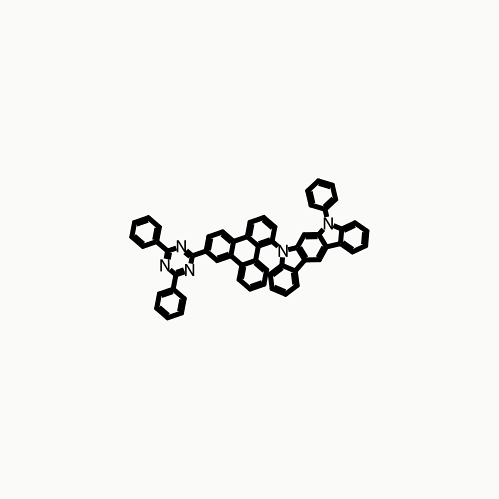 c1ccc(-c2nc(-c3ccccc3)nc(-c3ccc4c(c3)c3ccccc3c3c(-n5c6ccccc6c6cc7c8ccccc8n(-c8ccccc8)c7cc65)cccc43)n2)cc1